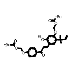 C=CC(C)(C)c1cc(C=CC(=O)c2ccc(OCOC(=O)C(C)(C)C)cc2)c(OCC)cc1OCOC(=O)C(C)(C)C